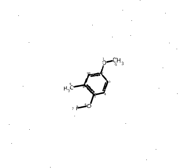 COc1ccc(OI)c(C)c1